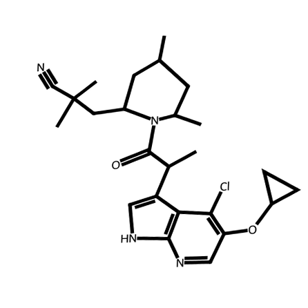 CC1CC(C)N(C(=O)C(C)c2c[nH]c3ncc(OC4CC4)c(Cl)c23)C(CC(C)(C)C#N)C1